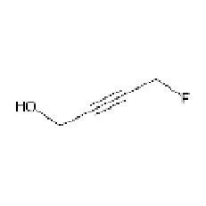 OCC#CCF